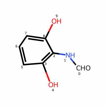 O=CNc1c(O)cccc1O